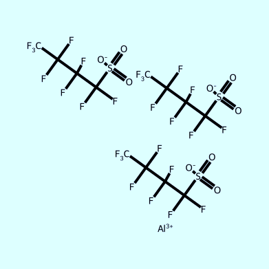 O=S(=O)([O-])C(F)(F)C(F)(F)C(F)(F)C(F)(F)F.O=S(=O)([O-])C(F)(F)C(F)(F)C(F)(F)C(F)(F)F.O=S(=O)([O-])C(F)(F)C(F)(F)C(F)(F)C(F)(F)F.[Al+3]